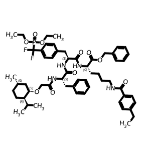 CCOP(=O)(OCC)C(F)(F)c1ccc(C[C@H](NC(=O)[C@H](Cc2ccccc2)NC(=O)CO[C@H]2C[C@@H](C)CC[C@@H]2C(C)C)C(=O)N[C@@H](CCCCNC(=O)c2ccc(CC)cc2)C(=O)OCc2ccccc2)cc1